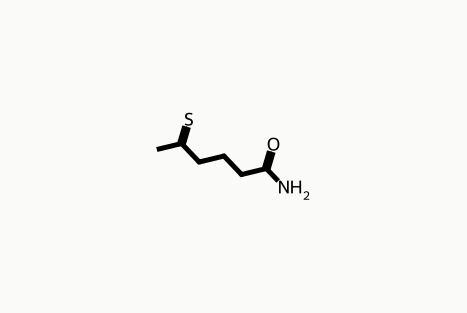 CC(=S)CCCC(N)=O